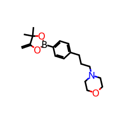 C=C1OB(c2ccc(CCCN3CCOCC3)cc2)OC1(C)C